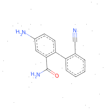 N#Cc1ccccc1-c1ccc(N)cc1C(N)=O